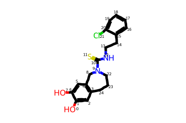 Oc1cc2c(cc1O)CN(C(=S)NCCc1ccccc1Cl)CCC2